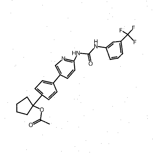 CC(=O)OC1(c2ccc(-c3ccc(NC(=O)Nc4cccc(C(F)(F)F)c4)nc3)cc2)CCCC1